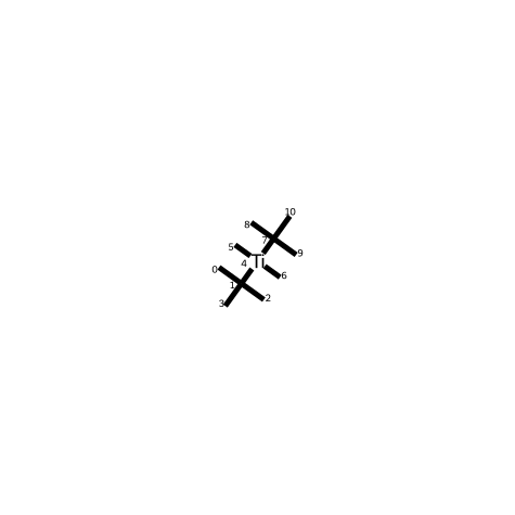 C[C](C)(C)[Ti]([CH3])([CH3])[C](C)(C)C